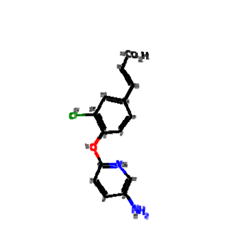 Nc1ccc(Oc2ccc(/C=C/C(=O)O)cc2Cl)nc1